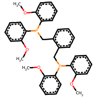 COc1ccccc1P(Cc1ccccc1CP(c1ccccc1OC)c1ccccc1OC)c1ccccc1OC